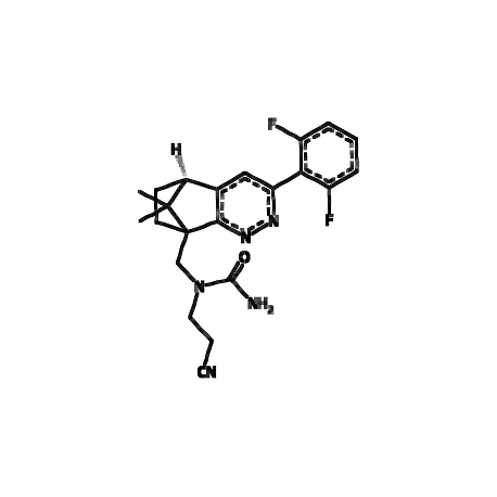 CC1(C)[C@H]2CCC1(CN(CCC#N)C(N)=O)c1nnc(-c3c(F)cccc3F)cc12